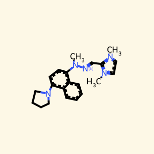 CN(/N=C/c1n(C)cc[n+]1C)c1ccc(N2CCCC2)c2ccccc12